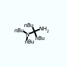 CCCCN(CCCC)C(N)(CCCC)CCCC